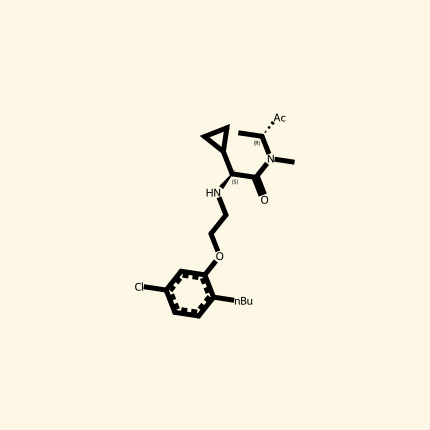 CCCCc1ccc(Cl)cc1OCCN[C@H](C(=O)N(C)[C@H](C)C(C)=O)C1CC1